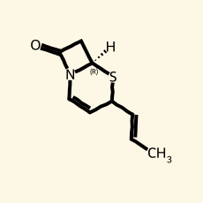 CC=CC1C=CN2C(=O)C[C@H]2S1